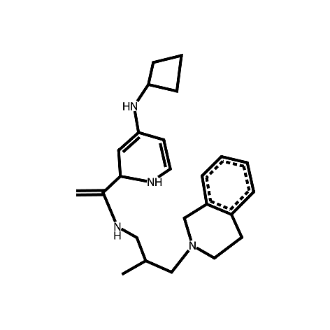 C=C(NCC(C)CN1CCc2ccccc2C1)C1C=C(NC2CCC2)C=CN1